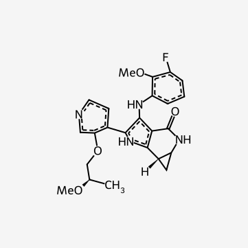 COc1c(F)cccc1Nc1c(-c2ccncc2OC[C@@H](C)OC)[nH]c2c1C(=O)NC1C[C@H]21